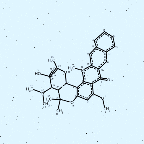 COc1cc2c(c3c1c(=O)c1cc4ccccc4cc1n3C)C(OC(C)=O)C(C(C(=O)O)N(C)C)C(C)(C)O2